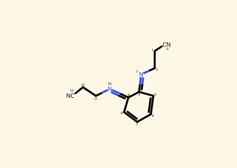 N#CCCN=C1C=CC=CC1=NCCC#N